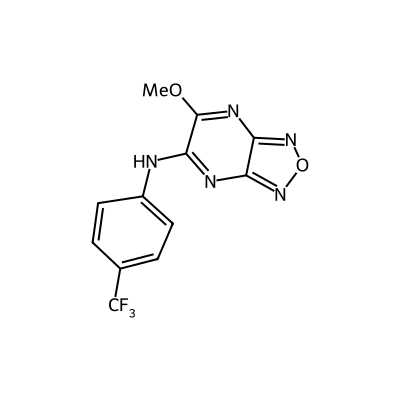 COc1nc2nonc2nc1Nc1ccc(C(F)(F)F)cc1